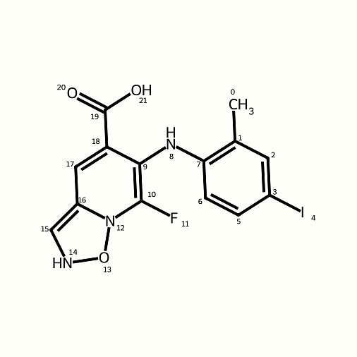 Cc1cc(I)ccc1NC1=C(F)N2ONC=C2C=C1C(=O)O